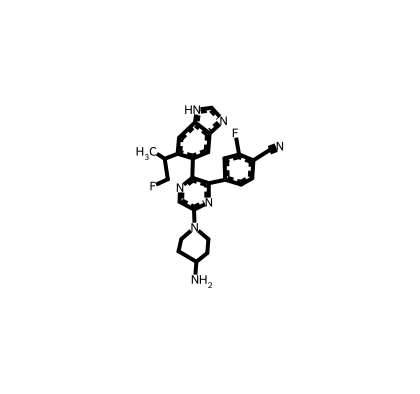 CC(CF)c1cc2[nH]cnc2cc1-c1ncc(N2CCC(N)CC2)nc1-c1ccc(C#N)c(F)c1